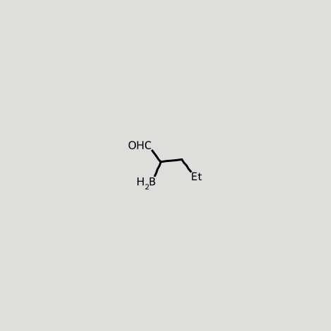 BC(C=O)CCC